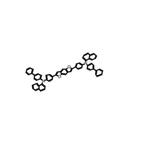 c1ccc(-c2ccc(N(c3ccc(-c4cc5cc6oc(-c7ccc(N(c8ccc(-c9ccccc9)cc8)c8cccc9ccccc89)cc7)cc6cc5o4)cc3)c3cccc4ccccc34)cc2)cc1